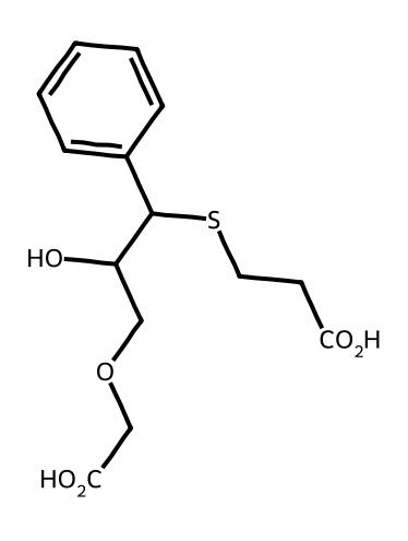 O=C(O)CCSC(c1ccccc1)C(O)COCC(=O)O